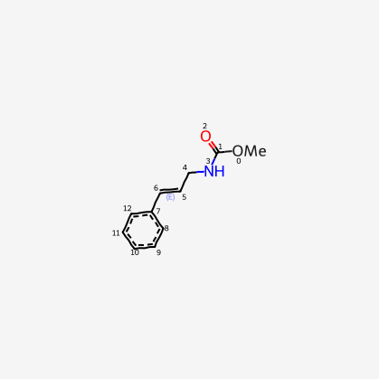 COC(=O)NC/C=C/c1ccccc1